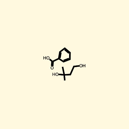 CC(C)(O)CCO.O=C(O)c1ccccc1